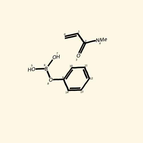 C=CC(=O)NC.OB(O)Oc1ccccc1